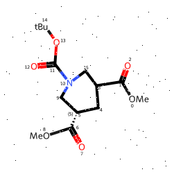 COC(=O)C1C[C@H](C(=O)OC)CN(C(=O)OC(C)(C)C)C1